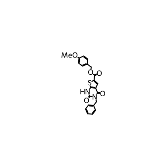 COc1ccc(COC(=O)c2cc3c(=O)n(Cc4ccccc4)c(=O)[nH]c3s2)cc1